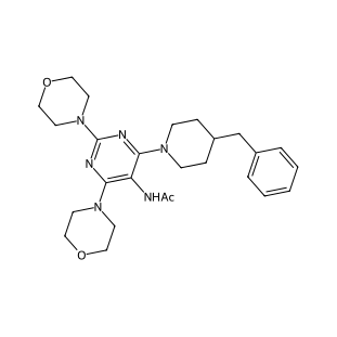 CC(=O)Nc1c(N2CCOCC2)nc(N2CCOCC2)nc1N1CCC(Cc2ccccc2)CC1